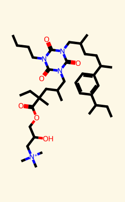 CCCCn1c(=O)n(CC(C)CCC(C)c2cccc(C(C)CC)c2)c(=O)n(CC(C)CC(C)(CC)C(=O)OCC(O)C[N+](C)(C)C)c1=O